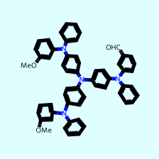 COc1cccc(N(c2ccccc2)c2ccc(N(c3ccc(N(c4ccccc4)c4cccc(C=O)c4)cc3)c3ccc(N(c4ccccc4)c4cccc(OC)c4)cc3)cc2)c1